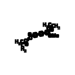 C=C(C)C(=O)OCCOC(=O)c1ccc(-c2ccc(-c3cc(OC)cc(OC(=O)C(=C)C)c3)cc2)cc1